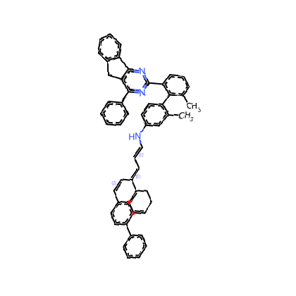 Cc1cc(N/C=C/C=C(\C=C/c2ccc(-c3ccccc3)cc2)C2=CC=CCC2)ccc1-c1c(C)cccc1-c1nc(-c2ccccc2)c2c(n1)-c1ccccc1C2